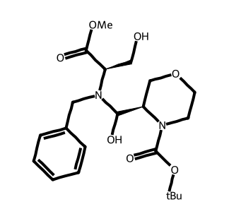 COC(=O)[C@@H](CO)N(Cc1ccccc1)C(O)[C@H]1COCCN1C(=O)OC(C)(C)C